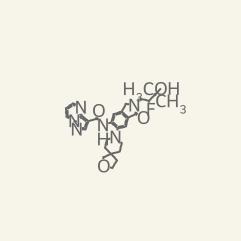 CC(C)(O)C(F)CN1Cc2cc(NC(=O)c3cnn4cccnc34)c(N3CCC4(CCOC4)CC3)cc2C1=O